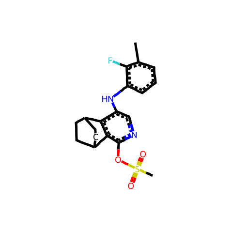 Cc1cccc(Nc2cnc(OS(C)(=O)=O)c3c2C2CCC3CC2)c1F